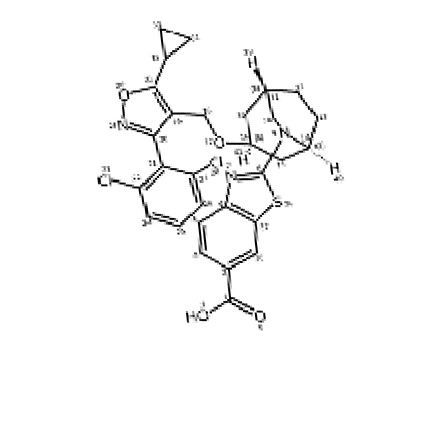 O=C(O)c1ccc2nc(N3C[C@H]4CC[C@H]3C[C@@H](OCc3c(-c5c(Cl)cccc5Cl)noc3C3CC3)C4)sc2c1